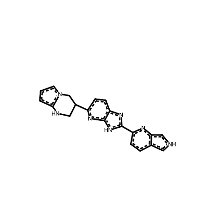 c1cc2n(c1)CC(c1ccc3nc(-c4ccc5c[nH]cc5n4)[nH]c3n1)CN2